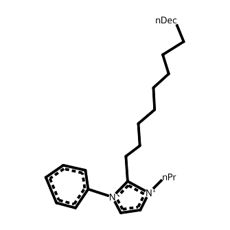 CCCCCCCCCCCCCCCCCCc1n(-c2ccccc2)cc[n+]1CCC